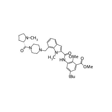 COC(=O)c1cc(C(C)(C)C)cc(NC(=O)c2cc3cccc(CN4CCN(C(=O)[C@@H]5CCCN5C)CC4)c3n2C)c1OC